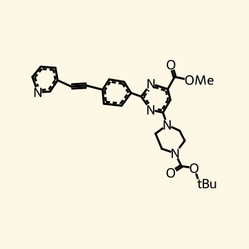 COC(=O)c1cc(N2CCN(C(=O)OC(C)(C)C)CC2)nc(-c2ccc(C#Cc3cccnc3)cc2)n1